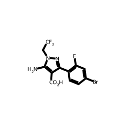 Nc1c(C(=O)O)c(-c2ccc(Br)cc2F)nn1CC(F)(F)F